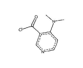 CN(C)c1ccncc1C(=O)Cl